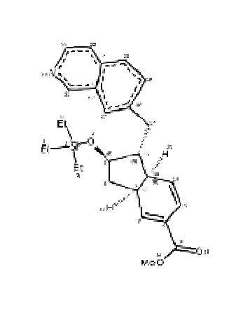 CC[Si](CC)(CC)O[C@@H]1C[C@@H]2C=C(C(=O)OC)C=C[C@@H]2[C@H]1Cc1ccc2ccncc2c1